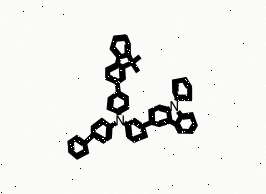 CC1(C)c2ccccc2-c2ccc(-c3ccc(N(c4ccc(-c5ccccc5)cc4)c4cccc(-c5ccc6c(c5)c5ccccc5n6-c5ccccc5)c4)cc3)cc21